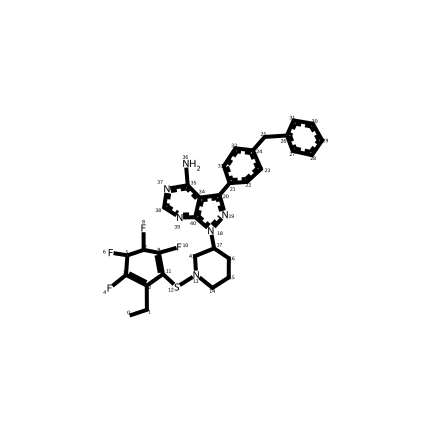 CCC1=C(F)C(F)C(F)C(F)=C1SN1CCCC(n2nc(-c3ccc(Cc4ccccc4)cc3)c3c(N)ncnc32)C1